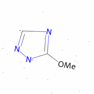 COC1=N[C]=N[N]1